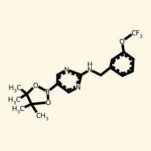 CC1(C)OB(c2cnc(NCc3cccc(OC(F)(F)F)c3)nc2)OC1(C)C